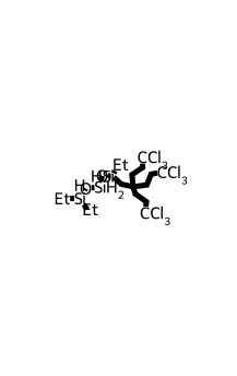 CC[SiH](CC)O[SiH2]O[SiH](CC)CC(CCC(Cl)(Cl)Cl)(CCC(Cl)(Cl)Cl)CCC(Cl)(Cl)Cl